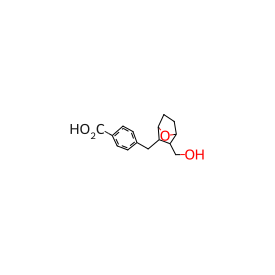 O=C(O)c1ccc(CC2C3CCC(O3)C2CO)cc1